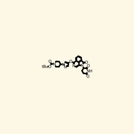 CC(C)(C)OC(=O)N1CCC(n2cc(Oc3ncc4c5c(cccc35)C(=O)N4C3CCC(=O)NC3=O)cn2)CC1